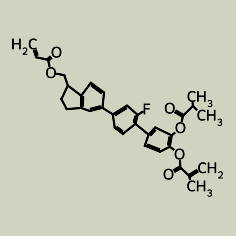 C=CC(=O)OCC1CCc2cc(-c3ccc(-c4ccc(OC(=O)C(=C)C)c(OC(=O)C(C)C)c4)c(F)c3)ccc21